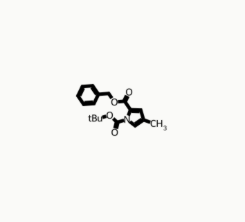 Cc1cc(C(=O)OCc2ccccc2)n(C(=O)OC(C)(C)C)c1